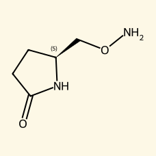 NOC[C@@H]1CCC(=O)N1